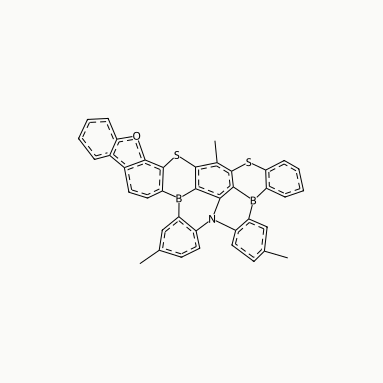 Cc1ccc2c(c1)B1c3ccccc3Sc3c(C)c4c5c(c31)N2c1ccc(C)cc1B5c1ccc2c(oc3ccccc32)c1S4